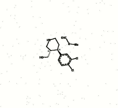 CC(C)(C)OC=O.OC[C@@H]1CNCC[C@H]1c1ccc(Cl)c(Cl)c1